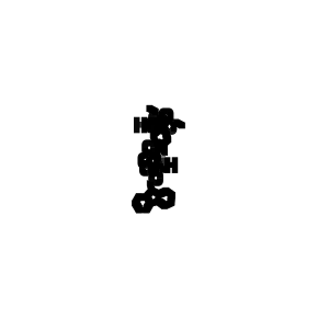 CCOP(=O)(OCC)C1(O)C=CC(C[C@H](NC(=O)OCC2c3ccccc3-c3ccccc32)C(=O)O)=CC1